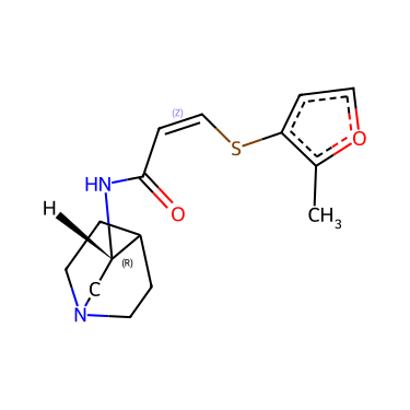 Cc1occc1S/C=C\C(=O)N[C@H]1CN2CCC1CC2